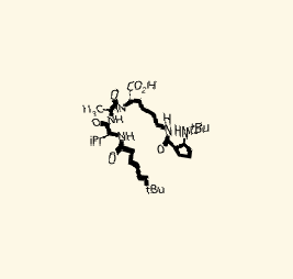 CC(C)[C@H](NC(=O)CCCCCC(C)(C)C)C(=O)N[C@@H](C)C(=O)N[C@@H](CCCCNC(=O)C1CCC[C@@H]1NC(C)(C)C)C(=O)O